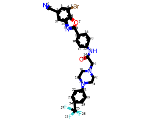 N#Cc1cc(Br)c2oc(-c3ccc(NC(=O)CN4CCN(c5ccc(C(F)(F)F)cc5)CC4)cc3)nc2c1